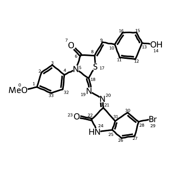 COc1ccc(N2C(=O)C(=Cc3ccc(O)cc3)SC2=NN=C2C(=O)Nc3ccc(Br)cc32)cc1